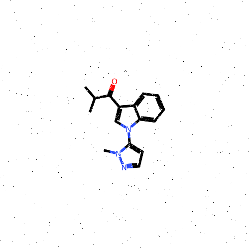 CC(C)C(=O)c1cn(-c2ccnn2C)c2ccccc12